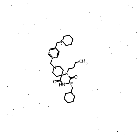 CCCCN1C(=O)[C@H](CC2CCCCC2)NC(=O)C12CCN(Cc1ccc(CN3CCCCC3)cc1)CC2